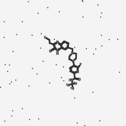 [2H]C([2H])([2H])NC(=O)c1ccc(N2CCN(Cc3ccc4nc(CCF)c(=O)[nH]c4c3)CC2)c(F)n1